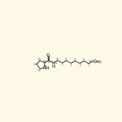 CCCCCCCCCCCCCCCCCCNC(=O)C1CCCN1